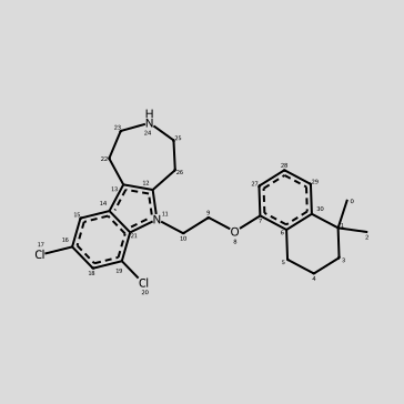 CC1(C)CCCc2c(OCCn3c4c(c5cc(Cl)cc(Cl)c53)CCNCC4)cccc21